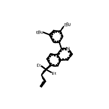 C=CCC(CC)(CC)c1ccc2c(-c3cc(C(C)(C)C)cc(C(C)(C)C)c3)nccc2c1